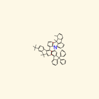 CC1C=CC=C2c3cccc(N(c4ccc5c(c4)C(c4ccccc4)(c4ccccc4)c4ccccc4-5)c4ccccc4-c4cccc5c4-c4ccc(C(C)(C)C)cc4C5(C)C)c3C(C)(C)C21